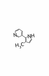 Cc1cc[nH]c1-c1cccnc1